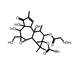 CCCCCCCCCCCC(=O)OC1C(C)C2(O)C(C3OC3(CO)C(O)C3(O)C(=O)C(C)=CC32)C2C(C)(C)C12OC(=O)C(C)CC